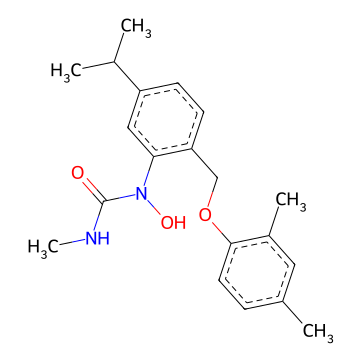 CNC(=O)N(O)c1cc(C(C)C)ccc1COc1ccc(C)cc1C